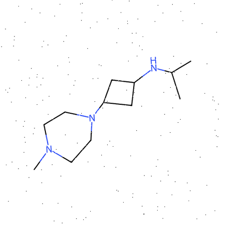 CC(C)NC1CC(N2CCN(C)CC2)C1